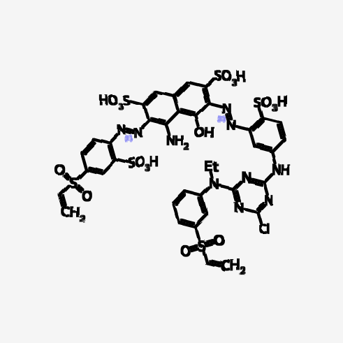 C=CS(=O)(=O)c1cccc(N(CC)c2nc(Cl)nc(Nc3ccc(S(=O)(=O)O)c(/N=N/c4c(S(=O)(=O)O)cc5cc(S(=O)(=O)O)c(/N=N/c6ccc(S(=O)(=O)C=C)cc6S(=O)(=O)O)c(N)c5c4O)c3)n2)c1